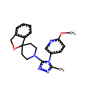 COc1ccc(-n2c(C)nnc2N2CCC3(CC2)OCc2ccccc23)cn1